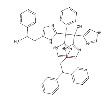 CC(Cc1cnc(C(c2ccccc2)(c2ncc[nH]2)C(O)(c2c[nH]cn2)c2ncc(CC(c3ccccc3)c3ccccc3)[nH]2)[nH]1)c1ccccc1